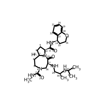 CNC(=O)N1CC[C@H]2CC[C@@H](C(=O)N[C@@H]3CCOc4ccccc43)N2C(=O)[C@@H](NC[C@H](C)NC(C)C)C1